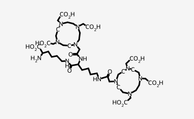 NC(CCCCNC(=O)C(CCCCNC(=O)CN1CCN(CC(=O)O)CCN(CC(=O)O)CCN(CC(=O)O)CC1)NC(=O)CN1CCN(CC(=O)O)CCN(CC(=O)O)CCN(CC(=O)O)CC1)C(=O)O